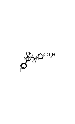 O=C(O)N1CCN(C(=O)Cn2cc(-c3ccc(F)cc3)nc2C(F)(F)F)CC1